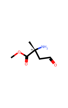 COC(=O)[C@](C)(N)CC=O